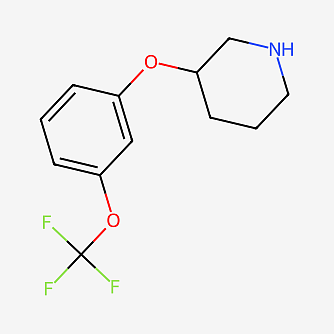 FC(F)(F)Oc1cccc(OC2CCCNC2)c1